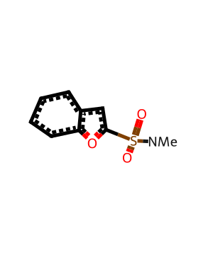 CNS(=O)(=O)c1cc2ccccc2o1